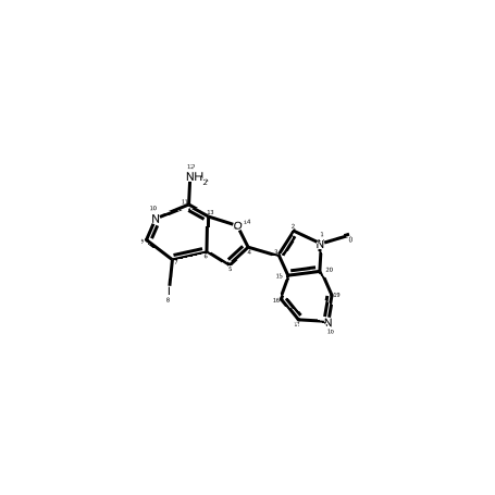 Cn1cc(-c2cc3c(I)cnc(N)c3o2)c2ccncc21